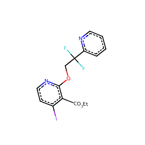 CCOC(=O)c1c(I)ccnc1OCC(F)(F)c1ccccn1